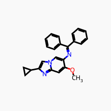 COc1cc2nc(C3CC3)cn2cc1N=C(c1ccccc1)c1ccccc1